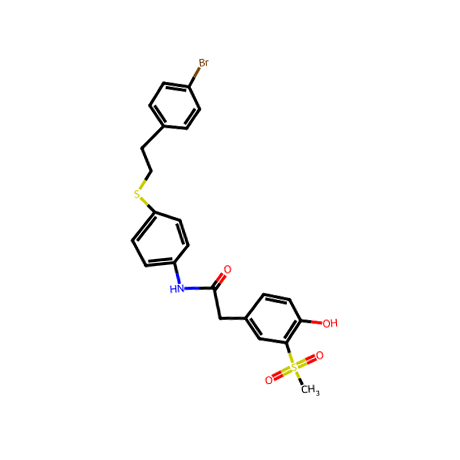 CS(=O)(=O)c1cc(CC(=O)Nc2ccc(SCCc3ccc(Br)cc3)cc2)ccc1O